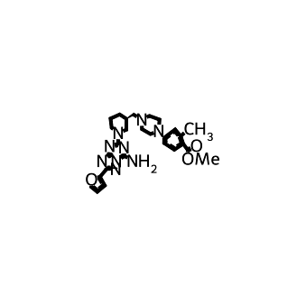 COC(=O)c1ccc(N2CCN(C[C@@H]3CCCN(c4nc(N)n5nc(-c6ccco6)nc5n4)C3)CC2)cc1C